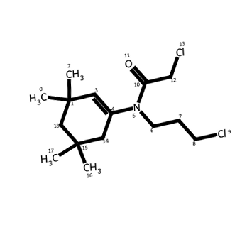 CC1(C)C=C(N(CCCCl)C(=O)CCl)CC(C)(C)C1